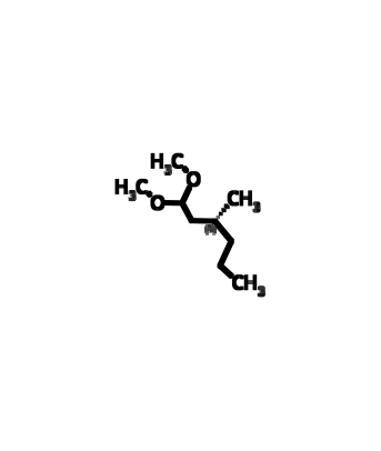 CCC[C@@H](C)CC(OC)OC